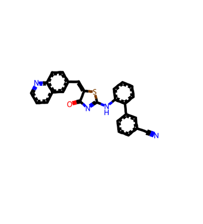 N#Cc1cccc(-c2ccccc2NC2=NC(=O)C(=Cc3ccc4ncccc4c3)S2)c1